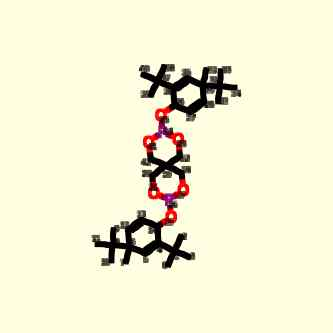 CC(C)(C)C1=CC(C)(C(C)(C)C)C=CC1OP1OCC2(CO1)COP(OC1C=CC(C)(C(C)(C)C)C=C1C(C)(C)C)OC2